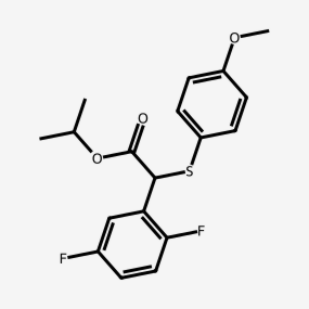 COc1ccc(SC(C(=O)OC(C)C)c2cc(F)ccc2F)cc1